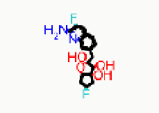 Nc1nc2cc(CC3(O)OC4CC(F)CC4(O)C3O)ccc2cc1F